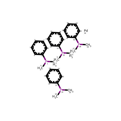 CP(C)c1ccccc1.CP(C)c1ccccc1.CP(C)c1ccccc1.CP(C)c1ccccc1.[Pd]